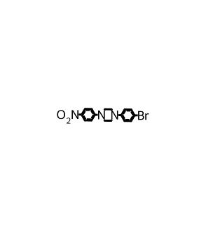 O=[N+]([O-])c1ccc(N2CCN(c3ccc(Br)cc3)CC2)cc1